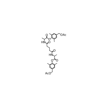 CC(=O)OCc1cc(C)c(OC(=O)C(C)NC(=O)CCCC(=O)NC(C)C(=O)Oc2c(C)cc(COC(C)=O)cc2C)c(C)c1